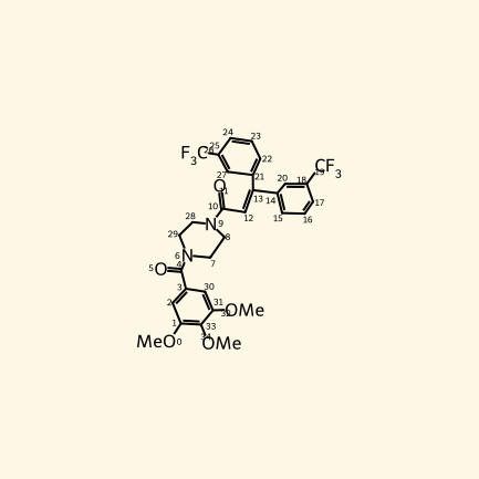 COc1cc(C(=O)N2CCN(C(=O)C=C(c3cccc(C(F)(F)F)c3)c3cccc(C(F)(F)F)c3)CC2)cc(OC)c1OC